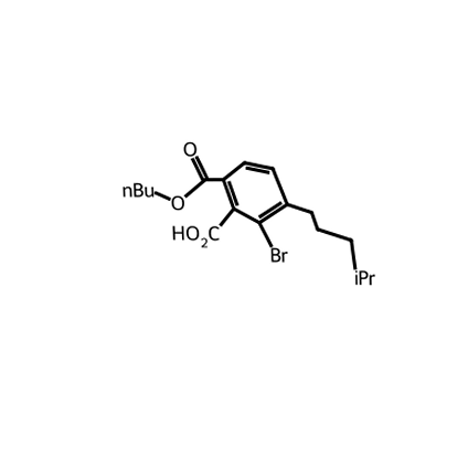 CCCCOC(=O)c1ccc(CCCC(C)C)c(Br)c1C(=O)O